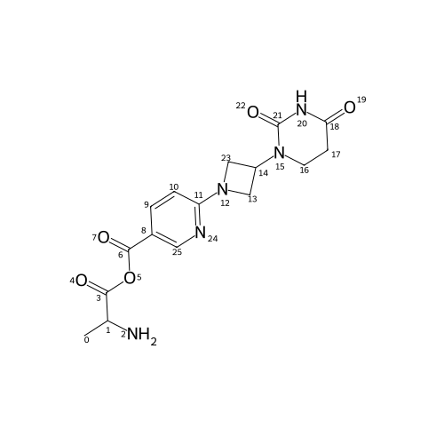 CC(N)C(=O)OC(=O)c1ccc(N2CC(N3CCC(=O)NC3=O)C2)nc1